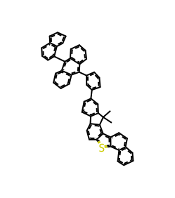 CC1(C)c2cc(-c3cccc(-c4c5ccccc5c(-c5cccc6ccccc56)c5ccccc45)c3)ccc2-c2ccc3sc4c5ccccc5ccc4c3c21